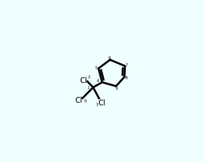 ClC(Cl)(Cl)C1=CCC=CC1